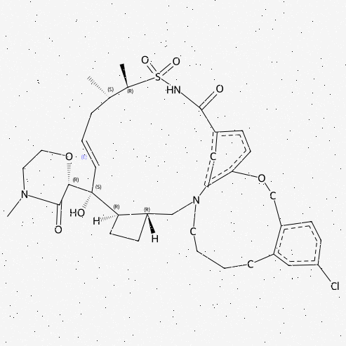 C[C@@H]1[C@@H](C)C/C=C/[C@](O)([C@H]2OCCN(C)C2=O)[C@@H]2CC[C@H]2CN2CCCCc3cc(Cl)ccc3COc3ccc(cc32)C(=O)NS1(=O)=O